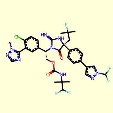 Cn1ncnc1-c1cc([C@@H](COC(=O)NC(C)(C)C(F)F)N2C(=N)N[C@](CC(C)(C)F)(c3ccc(-c4cnn(C(F)F)c4)cc3)C2=O)ccc1Cl